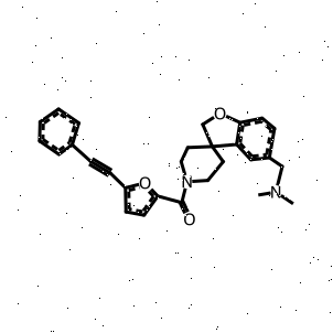 CN(C)Cc1ccc2c(c1)C1(CCN(C(=O)c3ccc(C#Cc4ccccc4)o3)CC1)CO2